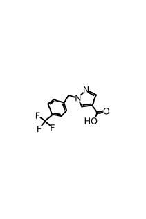 O=C(O)c1cnn(Cc2ccc(C(F)(F)F)cc2)c1